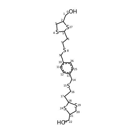 OCC1CSC(CCSCc2ccc(CSCCC3SCC(CO)S3)cc2)S1